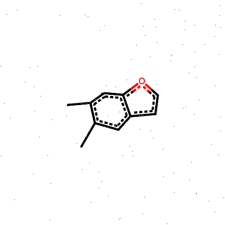 Cc1[c]c2occc2cc1C